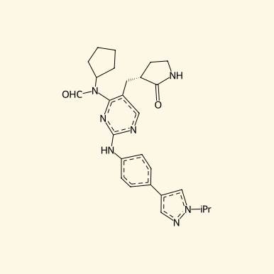 CC(C)n1cc(-c2ccc(Nc3ncc(C[C@@H]4CCNC4=O)c(N(C=O)C4CCCC4)n3)cc2)cn1